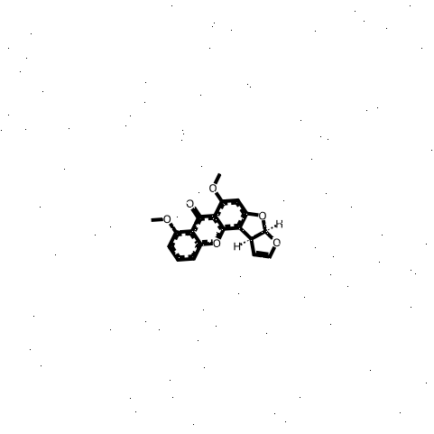 COc1cccc2oc3c4c(cc(OC)c3c(=O)c12)O[C@H]1OC=C[C@@H]41